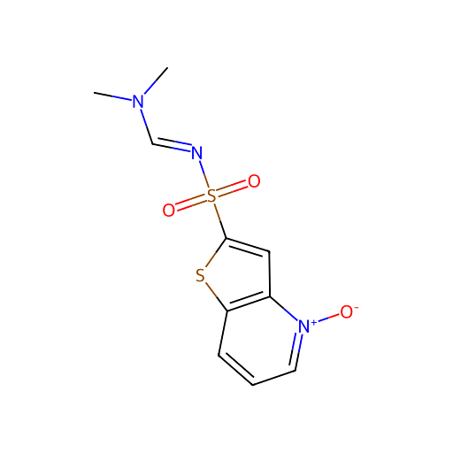 CN(C)C=NS(=O)(=O)c1cc2c(ccc[n+]2[O-])s1